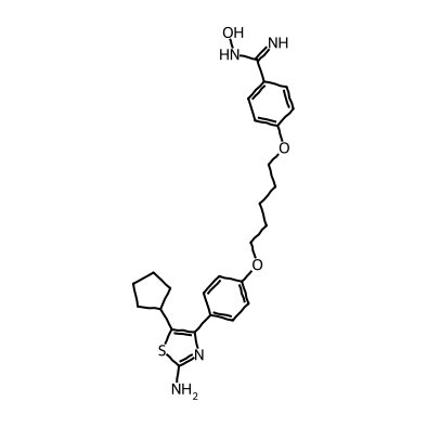 N=C(NO)c1ccc(OCCCCCOc2ccc(-c3nc(N)sc3C3CCCC3)cc2)cc1